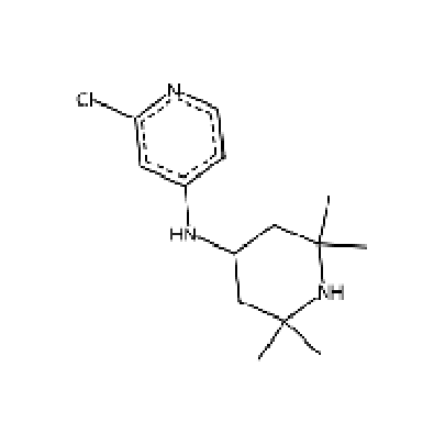 CC1(C)CC(Nc2ccnc(Cl)c2)CC(C)(C)N1